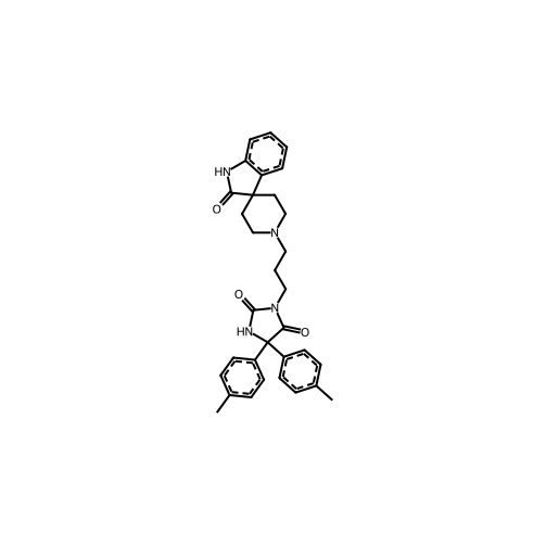 Cc1ccc(C2(c3ccc(C)cc3)NC(=O)N(CCCN3CCC4(CC3)C(=O)Nc3ccccc34)C2=O)cc1